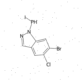 Clc1cc2cnn(PI)c2cc1Br